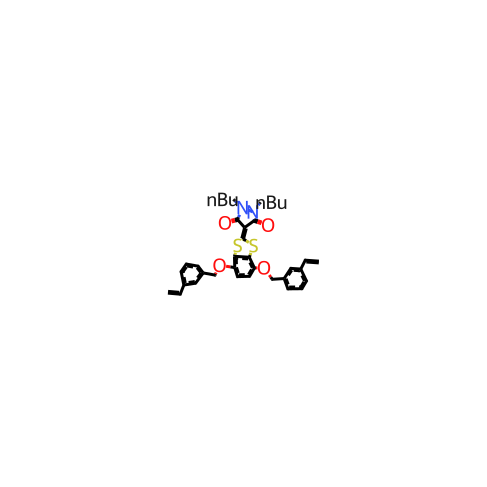 C=Cc1cccc(COc2ccc(OCc3cccc(C=C)c3)c3c2SC(=C2C(=O)N(CCCC)N(CCCC)C2=O)S3)c1